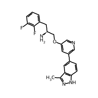 Cc1n[nH]c2ccc(-c3cncc(OC[C@@H](N)Cc4cccc(F)c4F)c3)cc12